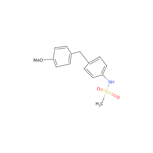 COc1ccc(Cc2ccc(NS(C)(=O)=O)cc2)cc1